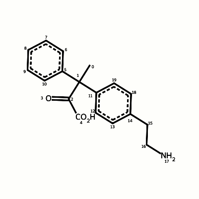 CC(C(=O)C(=O)O)(c1ccccc1)c1ccc(CCN)cc1